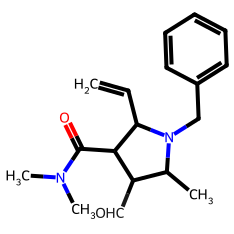 C=CC1C(C(=O)N(C)C)C(C=O)C(C)N1Cc1ccccc1